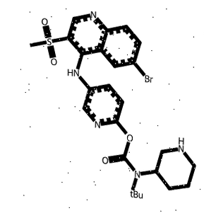 CC(C)(C)N(C(=O)Oc1ccc(Nc2c(S(C)(=O)=O)cnc3ccc(Br)cc23)cn1)C1CCCNC1